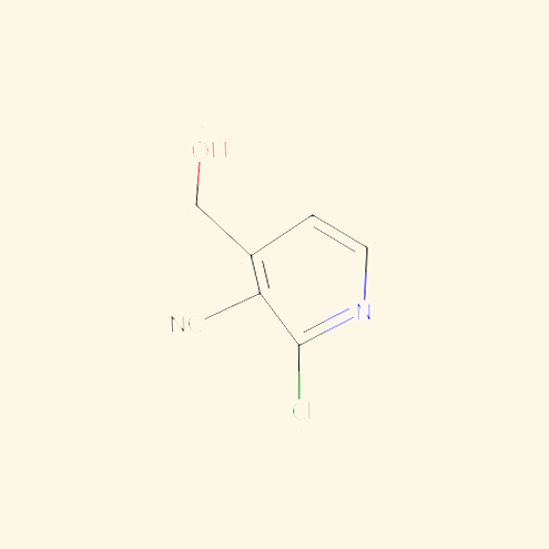 N#Cc1c(CO)ccnc1Cl